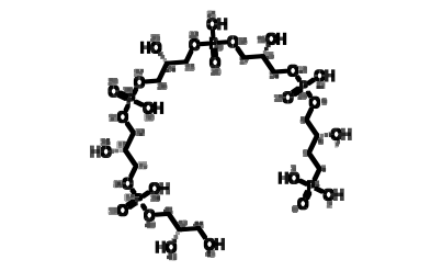 O=P(O)(O)CC[C@@H](O)COP(=O)(O)OC[C@@H](O)COP(=O)(O)OC[C@@H](O)COP(=O)(O)OC[C@@H](O)COP(=O)(O)OC[C@@H](O)CO